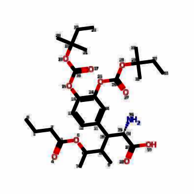 CCCC(=O)OC(C)C(C)C(c1ccc(OC(=O)OC(C)(C)CC)c(OC(=O)OC(C)(C)CC)c1)[C@H](N)C(=O)O